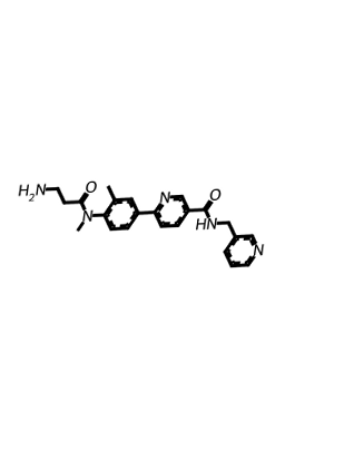 Cc1cc(-c2ccc(C(=O)NCc3cccnc3)cn2)ccc1N(C)C(=O)CCN